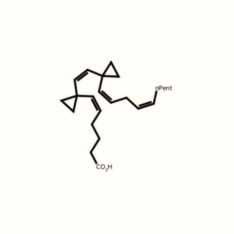 CCCCC/C=C\C/C=C\C1(/C=C\C2(/C=C\CCCC(=O)O)CC2)CC1